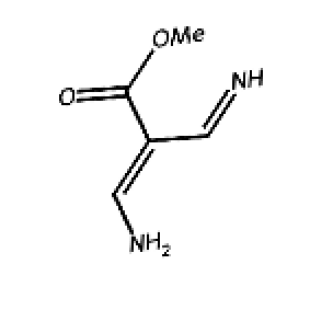 COC(=O)/C(C=N)=C/N